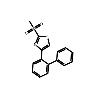 CS(=O)(=O)c1nc(-c2ccccc2-c2ccccc2)cs1